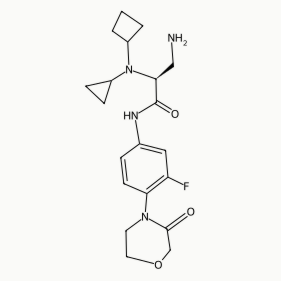 NC[C@@H](C(=O)Nc1ccc(N2CCOCC2=O)c(F)c1)N(C1CCC1)C1CC1